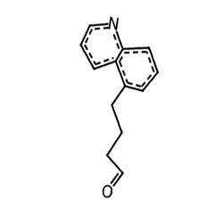 O=CCCCc1cccc2ncccc12